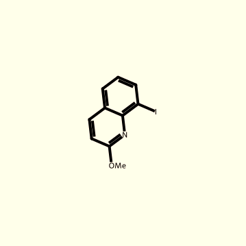 COc1ccc2cccc(I)c2n1